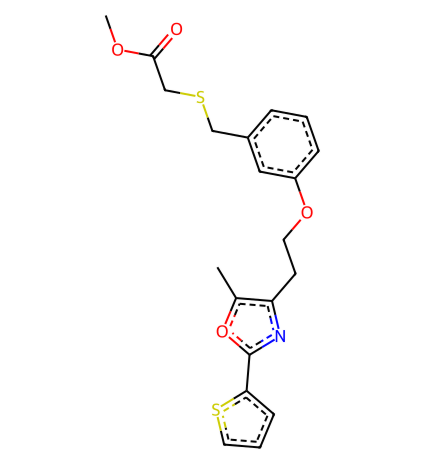 COC(=O)CSCc1cccc(OCCc2nc(-c3cccs3)oc2C)c1